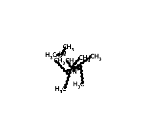 CCCCCCCCc1cc(CCCCCCCC)cc(C2=C(CCCC)C(CCCCCC)=C(c3cc(CCCCCCCC)cc(CCCCCCCC)c3)[N+]2=[N-])c1.CCC[O][Pd][O]CCC